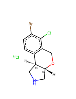 Cl.Clc1c(Br)ccc2c1CO[C@@H]1CNC[C@@H]21